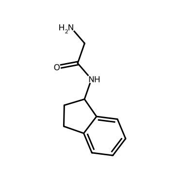 NCC(=O)NC1CCc2ccccc21